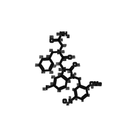 COc1ccc([N+](=O)[O-])cc1Cn1c(=O)n(CC(=O)N(CC(N)=O)Cc2ccccc2)c2cc(F)ccc21